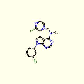 CCN(c1ncnc2c1c(-c1nccnc1F)cn2-c1cccc(Cl)c1)C(C)C